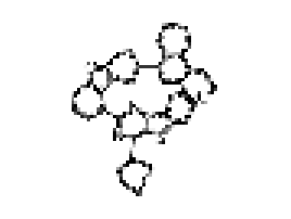 c1ccc(-c2nc(-c3cccc4oc5ccc(-c6cc7ccccc7c7ccccc67)cc5c34)nc3c2sc2ccccc23)cc1